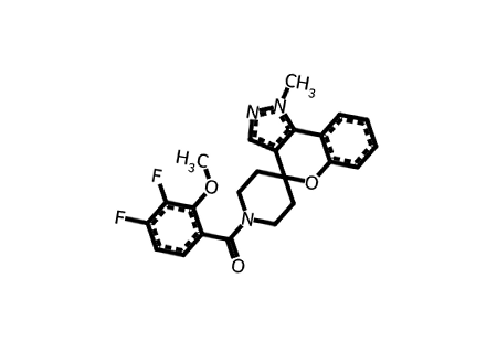 COc1c(C(=O)N2CCC3(CC2)Oc2ccccc2-c2c3cnn2C)ccc(F)c1F